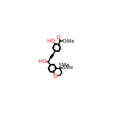 COC(=O)c1ccc(C#CC(O)c2ccc3c(c2)C(SC)(SC)CCO3)cc1O